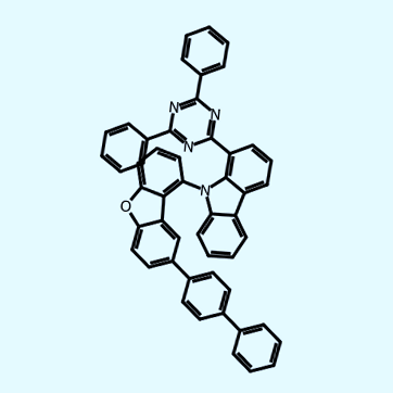 c1ccc(-c2ccc(-c3ccc4oc5cccc(-n6c7ccccc7c7cccc(-c8nc(-c9ccccc9)nc(-c9ccccc9)n8)c76)c5c4c3)cc2)cc1